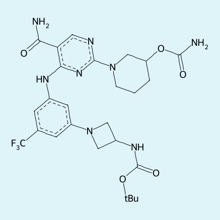 CC(C)(C)OC(=O)NC1CN(c2cc(Nc3nc(N4CCCC(OC(N)=O)C4)ncc3C(N)=O)cc(C(F)(F)F)c2)C1